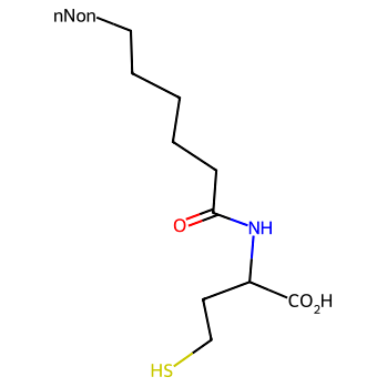 CCCCCCCCCCCCCCC(=O)NC(CCS)C(=O)O